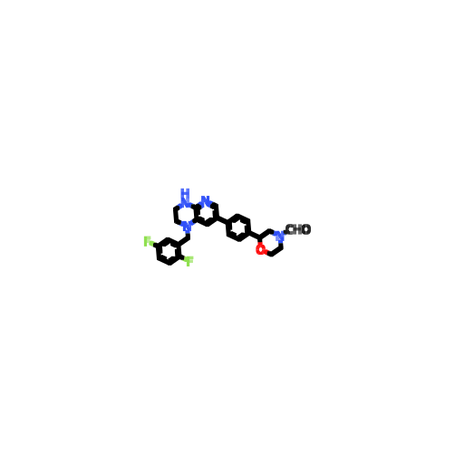 O=CN1CCOC(c2ccc(-c3cnc4c(c3)N(Cc3cc(F)ccc3F)CCN4)cc2)C1